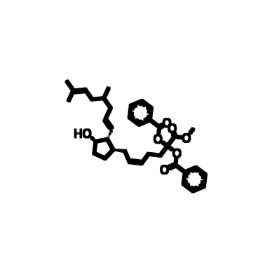 COC(=O)C(CC/C=C\C[C@H]1CC[C@@H](O)[C@@H]1/C=C/CC(C)CC=C(C)C)(OC(=O)c1ccccc1)OC(=O)c1ccccc1